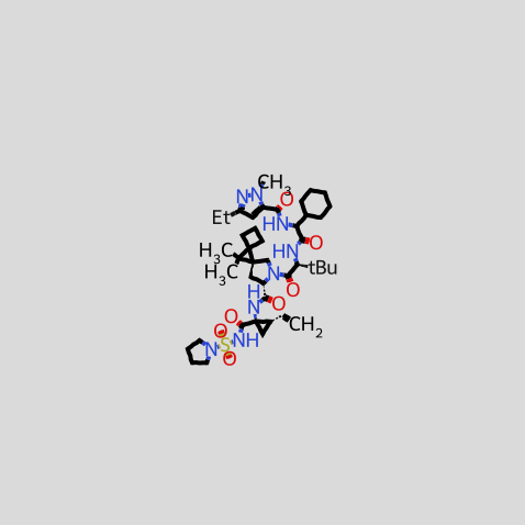 C=C[C@@H]1C[C@]1(NC(=O)[C@@H]1C[C@@]2(CN1C(=O)[C@@H](NC(=O)C(NC(=O)c1cc(CC)nn1C)C1CCCCC1)C(C)(C)C)C(C)(C)C21CCC1)C(=O)NS(=O)(=O)N1CCCC1